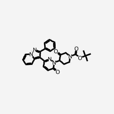 CC(C)(C)OC(=O)N1CCC(n2nc(-c3c(-c4ccccc4)nn4ccccc34)ccc2=O)C(=O)C1